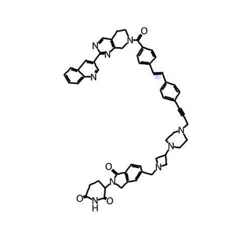 O=C1CCC(N2Cc3cc(CN4CC(N5CCN(CC#Cc6ccc(/C=C/c7ccc(C(=O)N8CCc9cnc(-c%10cnc%11ccccc%11c%10)nc9C8)cc7)cc6)CC5)C4)ccc3C2=O)C(=O)N1